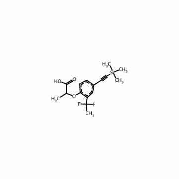 CC(Oc1ccc(C#C[Si](C)(C)C)cc1C(C)(F)F)C(=O)O